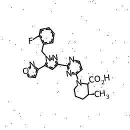 C[C@H]1CCCN(c2ccnc(-c3cc(-c4ccon4)n(Cc4ccccc4F)n3)n2)[C@H]1C(=O)O